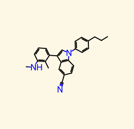 CCCc1ccc(-n2cc(-c3cccc(NC)c3C)c3cc(C#N)ccc32)cc1